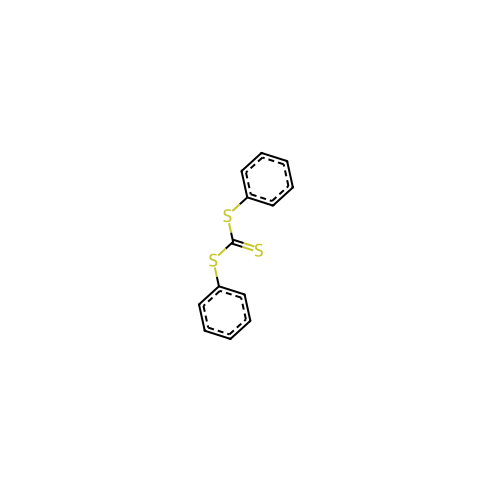 S=C(Sc1ccccc1)Sc1ccccc1